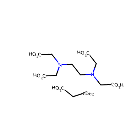 CCCCCCCCCCCC(=O)O.O=C(O)CN(CCN(CC(=O)O)CC(=O)O)CC(=O)O